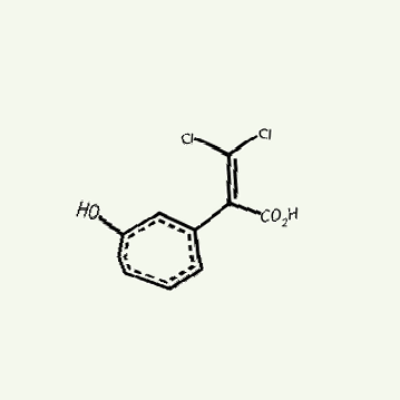 O=C(O)C(=C(Cl)Cl)c1cccc(O)c1